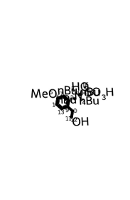 CCCC[N+](CCCC)(CCCC)CCCC.COc1ccc(CCO)cc1.O=S(=O)(O)O